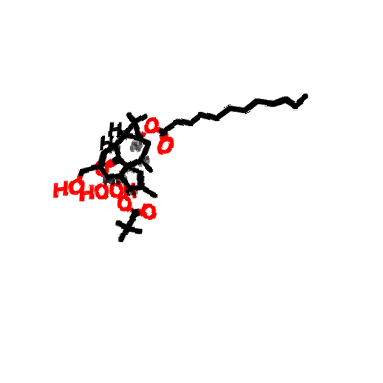 CCCCCCCCCCCC(=O)O[C@@]12C[C@@H](C)[C@]34C=C(C)[C@H](OC(=O)C(C)(C)C)[C@@]3(O)[C@H](O)C(CO)=C[C@H](C4=O)[C@@H]1C2(C)C